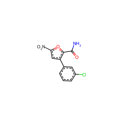 NC(=O)c1oc([N+](=O)[O-])cc1-c1cccc(Cl)c1